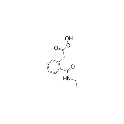 CCNC(=O)c1ccccc1CC(=O)OO